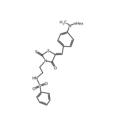 CCCCCCN(C)c1ccc(/C=C2\SC(=S)N(CCNS(=O)(=O)c3ccccc3)C2=O)cc1